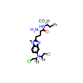 [2H]C(CCl)N(c1ccc2c(c1)nc(CC[C@H](N)C(=O)N[C@@H](CC(C)C)C(=O)O)n2C)C([2H])CCl